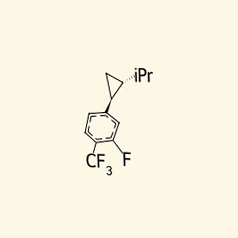 CC(C)[C@H]1C[C@@H]1c1ccc(C(F)(F)F)c(F)c1